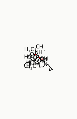 CC(C)NC(=O)C1=C(C(=O)N2CCCCC2)[C@H](C)[C@]23CCN(CC4CC4)[C@H](Cc4ccc(O)c(O)c42)[C@]3(O)C1